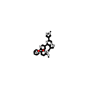 COc1ccc(CN2C3CC2CN(c2ccc(-c4nc(-c5cnn(C)c5)cn5ncc(C#N)c45)cn2)C3)cn1